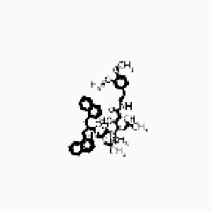 COc1ccc(CCNC(=O)C[C@H](O)[C@H](CC(C)C)NC(=O)[C@H](CC(C)C)NC(=O)C(Cc2cccc3ccccc23)Cc2cccc3ccccc23)cc1OC